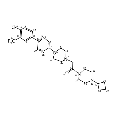 O=C(CN1CCN(c2cnc(-c3ccc(Cl)c(C(F)(F)F)c3)cn2)CC1)N1CCN(C2CCC2)CC1